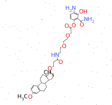 COc1ccc2c(c1)CCC1C2CCC2(C)C(OCCC(=O)NCCOCCOCC(=O)Oc3ccc(N)c(O)c3C(N)=O)CCC12